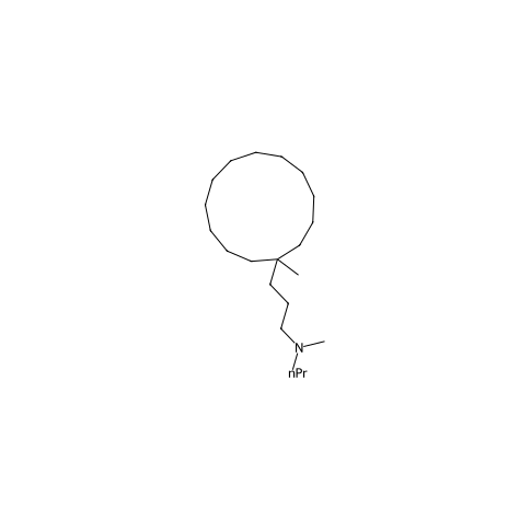 CCCN(C)CCCC1(C)CCCCCCCCCCCC1